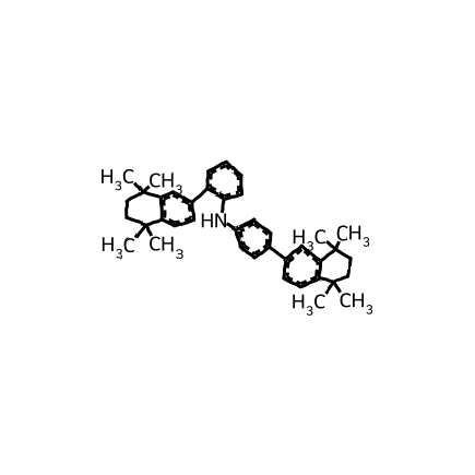 CC1(C)CCC(C)(C)c2cc(-c3ccc(Nc4ccccc4-c4ccc5c(c4)C(C)(C)CCC5(C)C)cc3)ccc21